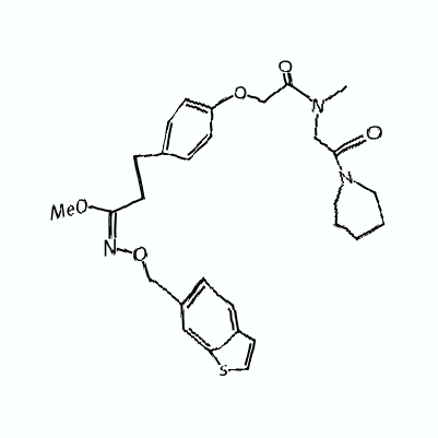 COC(CCc1ccc(OCC(=O)N(C)CC(=O)N2CCCCC2)cc1)=NOCc1ccc2ccsc2c1